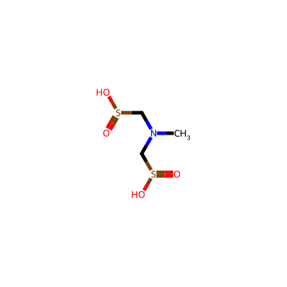 CN(CS(=O)O)CS(=O)O